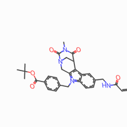 C=CC(=O)NCc1ccc2c(c1)c1c(n2Cc2ccc(C(=O)OC(C)(C)C)cc2)CN2CC1C(=O)N(C)C2=O